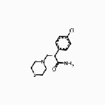 NC(=O)[C@@H](CN1CCSCC1)c1ccc(Cl)cc1